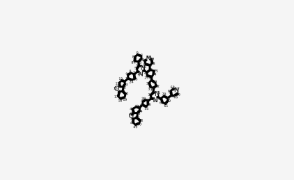 c1ccc(-c2cc(-c3ccc(-c4ccc5oc6ccccc6c5c4)cc3)nc(-c3cc(-c4ccc(-c5cc(-c6ccc(-c7ccc8oc9ccccc9c8c7)cc6)nc(-c6cccc(-c7ccncc7)c6)n5)cc4)ccc3-c3ccncc3)n2)cc1